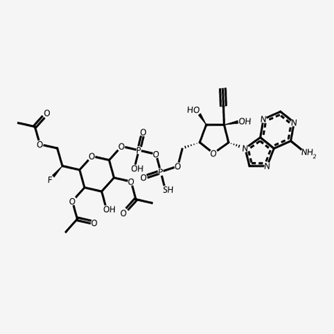 C#C[C@@]1(O)[C@H](O)[C@@H](COP(=O)(S)OP(=O)(O)OC2OC([C@@H](F)COC(C)=O)C(OC(C)=O)C(O)C2OC(C)=O)O[C@H]1n1cnc2c(N)ncnc21